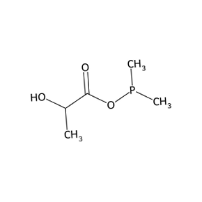 CC(O)C(=O)OP(C)C